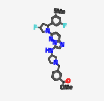 COC(=O)c1cccc(CN2CCC(Nc3cnc4ccc(N5CC(F)CC5c5cc(F)cc(SC)c5)nn34)C2)c1